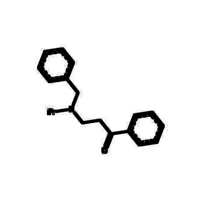 CC(C)N(CCC(=O)c1ccccc1)Cc1ccccc1